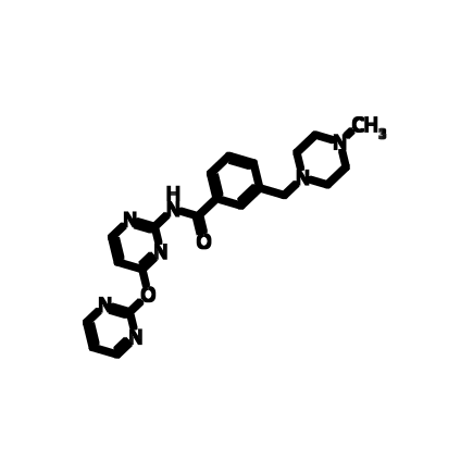 CN1CCN(Cc2cccc(C(=O)Nc3nccc(Oc4ncccn4)n3)c2)CC1